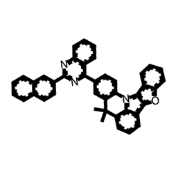 CC1(C)c2cc(-c3nc(-c4ccc5ccccc5c4)nc4ccccc34)ccc2-n2c3c1cccc3c1oc3ccccc3c12